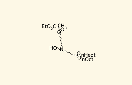 CCCCCCCCC(CCCCCCC)OC(=O)CCCCCCCN(CCO)CCCCCCCOC(=O)C(C)CC(=O)OCC